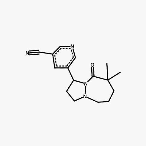 CC1(C)CCCN2CCC(c3cncc(C#N)c3)N2C1=O